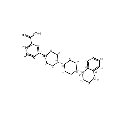 O=C(O)c1cc(N2CCN([C@H]3CC[C@@H](N4CCOc5ccccc54)CC3)CC2)cnn1